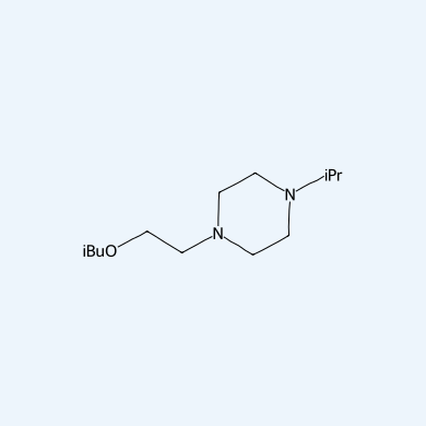 CC(C)COCCN1CCN(C(C)C)CC1